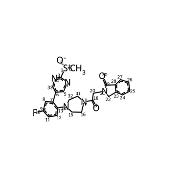 C[S+]([O-])c1ncc(-c2cc(F)ccc2N2CCN(C(=O)CN3Cc4ccccc4C3=O)CC2)cn1